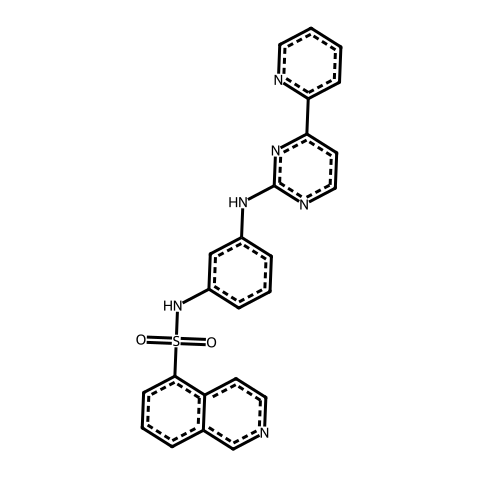 O=S(=O)(Nc1cccc(Nc2nccc(-c3ccccn3)n2)c1)c1cccc2cnccc12